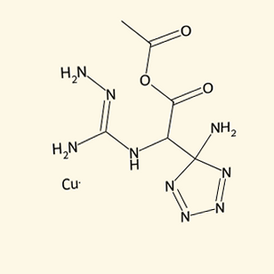 CC(=O)OC(=O)C(NC(N)=NN)C1(N)N=NN=N1.[Cu]